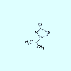 CC(O)c1csc(Cl)n1